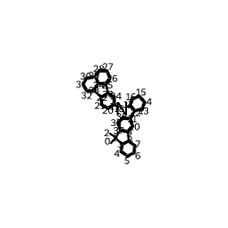 CC1(C)c2ccccc2-c2cc3c4ccccc4n(-c4ccc5c(c4)-c4cccc6cccc-5c46)c3cc21